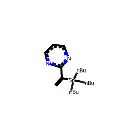 C=[C](c1ncccn1)[Sn]([CH2]CCC)([CH2]CCC)[CH2]CCC